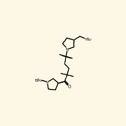 CC(C)(C)CC1CCN(C(C)(C)CCC(C)(C)C(=O)C2CCN(C(C)(C)C)C2)C1